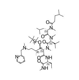 CC[C@H](NC(=O)[C@H]([C@H](O[Si](C)(C)C(C)(C)C)[C@H](C)CCN(C)Cc1ccccn1)N(C)C(=O)[C@H](C(C)C)N(C)C(=O)[C@H](CC(C)C)N(C)C(=O)CCC(C)C)C(=O)NC